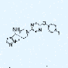 NC1c2ccnn2CC12CCN(c1cnc(Oc3ccc(F)cc3)cn1)CC2